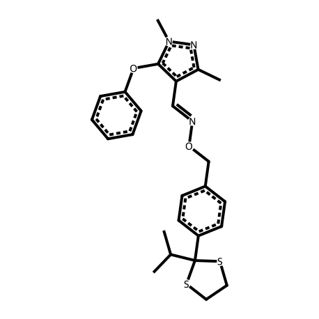 Cc1nn(C)c(Oc2ccccc2)c1/C=N/OCc1ccc(C2(C(C)C)SCCS2)cc1